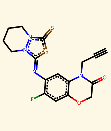 C#CCN1C(=O)COc2cc(F)c(N=c3sc(=S)n4n3CCCC4)cc21